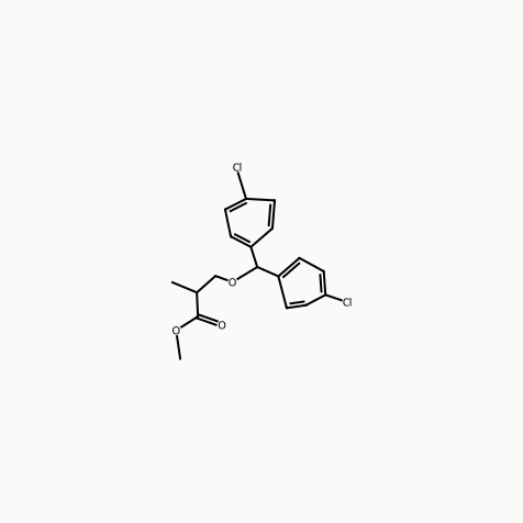 COC(=O)C(C)COC(c1ccc(Cl)cc1)c1ccc(Cl)cc1